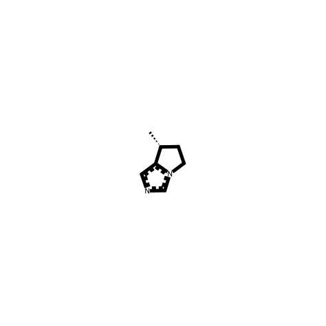 C[C@@H]1CCn2cncc21